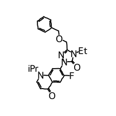 CCn1c(COCc2ccccc2)nn(-c2cc3c(cc2F)c(=O)ccn3C(C)C)c1=O